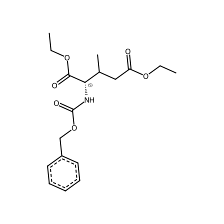 CCOC(=O)CC(C)[C@H](NC(=O)OCc1ccccc1)C(=O)OCC